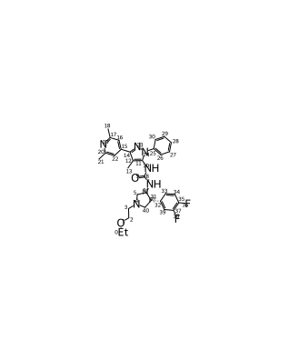 CCOCCN1C[C@@H](NC(=O)Nc2c(C)c(-c3cc(C)nc(C)c3)nn2-c2ccccc2)[C@H](c2ccc(F)c(F)c2)C1